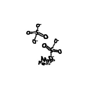 O=S(=O)([O-])[O-].O=S(=O)([O-])[O-].[Fe+2].[Mn+2]